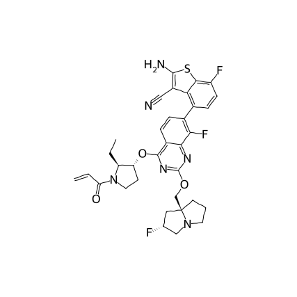 C=CC(=O)N1CC[C@@H](Oc2nc(OC[C@@]34CCCN3C[C@H](F)C4)nc3c(F)c(-c4ccc(F)c5sc(N)c(C#N)c45)ccc23)[C@@H]1CC